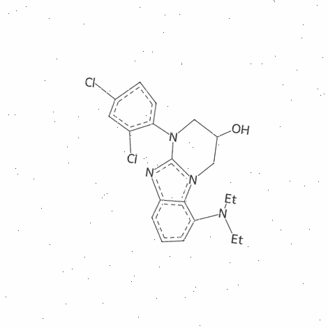 CCN(CC)c1cccc2nc3n(c12)CC(O)CN3c1ccc(Cl)cc1Cl